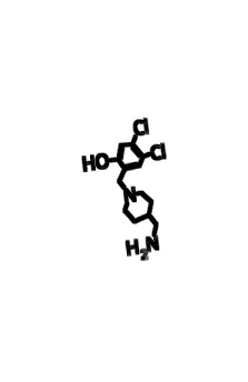 NCC1CCN(Cc2cc(Cl)c(Cl)cc2O)CC1